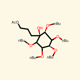 CCCCOC1C(OCCCC)[C@](O)(CCCOC(C)=O)[C@@H](OCCCC)C(OCCCC)[C@H]1OCCCC